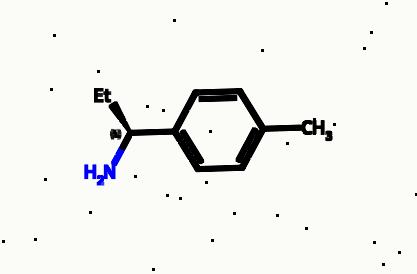 CC[C@H](N)c1ccc(C)cc1